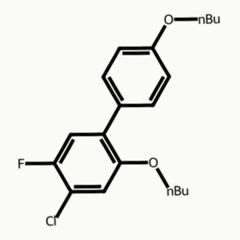 CCCCOc1ccc(-c2cc(F)c(Cl)cc2OCCCC)cc1